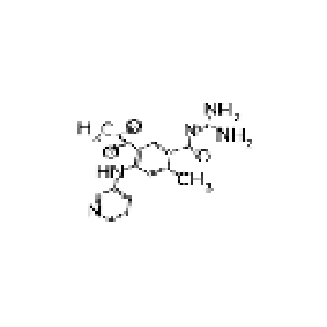 Cc1cc(Nc2cccnc2)c(S(C)(=O)=O)cc1C(=O)N=C(N)N